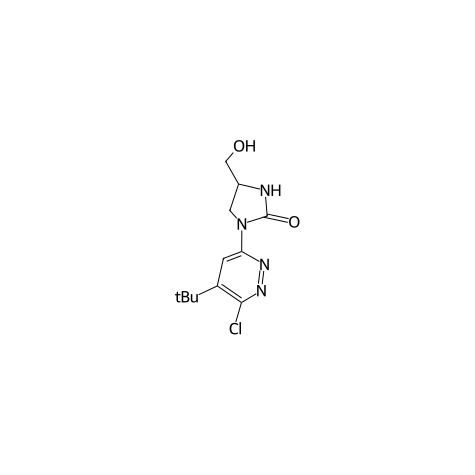 CC(C)(C)c1cc(N2CC(CO)NC2=O)nnc1Cl